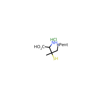 CCCCCCC(C)(S)C(N)C(=O)O.Cl